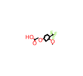 COc1cc(OCC(=O)O)ccc1C(F)(F)F